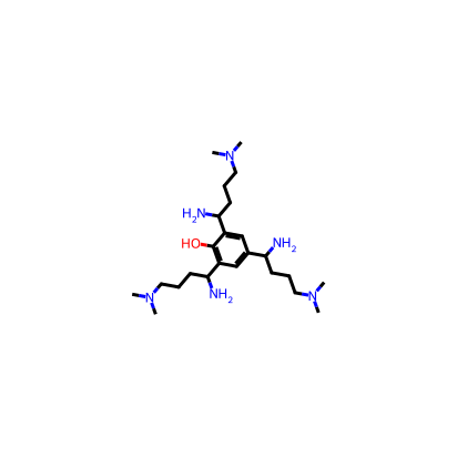 CN(C)CCCC(N)c1cc(C(N)CCCN(C)C)c(O)c(C(N)CCCN(C)C)c1